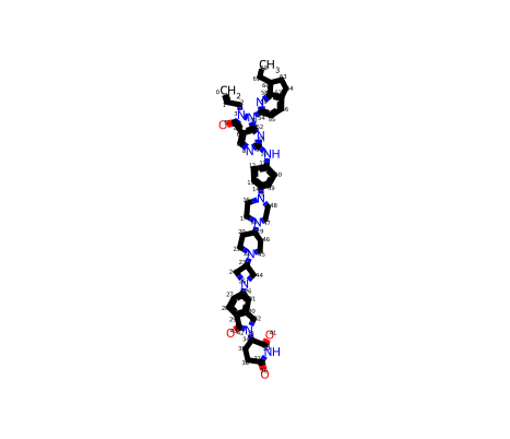 C=CCn1c(=O)c2cnc(Nc3ccc(N4CCN(C5CCN(C6CN(c7ccc8c(c7)CN(C7CCC(=O)NC7=O)C8=O)C6)CC5)CC4)cc3)nc2n1-c1ccc2c(n1)C(CC)CC2